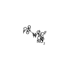 O=C1c2cccc(F)c2C(=O)N1CCCCn1cc(C(=O)N(c2ccc(F)cc2C2CC2)c2ccc([N+](=O)[O-])c3nonc23)cn1